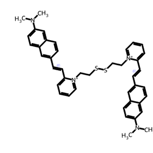 CN(C)c1ccc2cc(/C=C/c3cccc[n+]3CCSSCC[n+]3ccccc3/C=C/c3ccc4cc(N(C)C)ccc4c3)ccc2c1